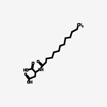 CCCCCCCCCCCCC(=O)NC(CC(=O)O)C(=O)O